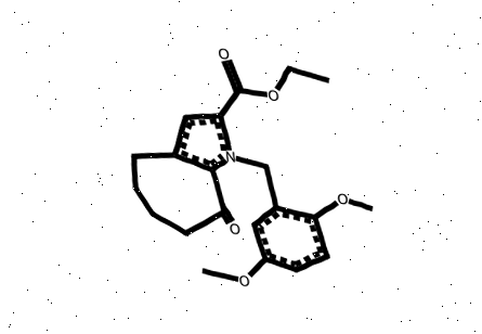 CCOC(=O)c1cc2c(n1Cc1cc(OC)ccc1OC)C(=O)CCCC2